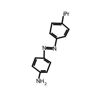 CC(C)c1ccc(/N=N/c2ccc(N)cc2)cc1